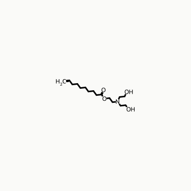 C=CCCCCCCCC(=O)OCCN(CCO)CCO